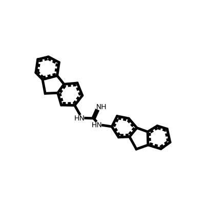 N=C(Nc1ccc2c(c1)Cc1ccccc1-2)Nc1ccc2c(c1)Cc1ccccc1-2